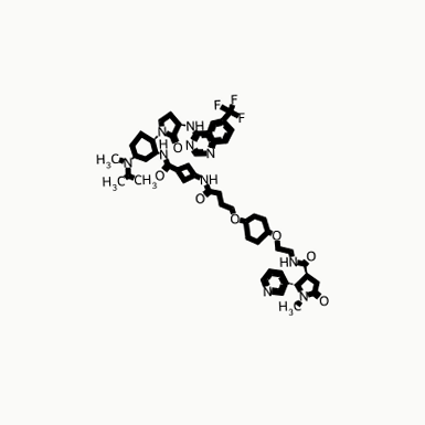 CC(C)N(C)[C@@H]1CC[C@H](N2CC[C@H](Nc3ncnc4ccc(C(F)(F)F)cc34)C2=O)[C@H](NC(=O)C2CC(NC(=O)CCCOC3CCC(OCCNC(=O)[C@H]4CC(=O)N(C)[C@@H]4c4cccnc4)CC3)C2)C1